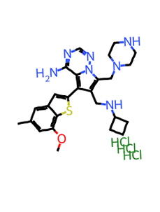 COc1cc(C)cc2cc(-c3c(CNC4CCC4)c(CN4CCNCC4)n4ncnc(N)c34)sc12.Cl.Cl.Cl